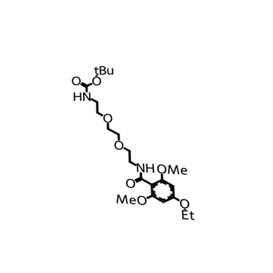 CCOc1cc(OC)c(C(=O)NCCOCCOCCNC(=O)OC(C)(C)C)c(OC)c1